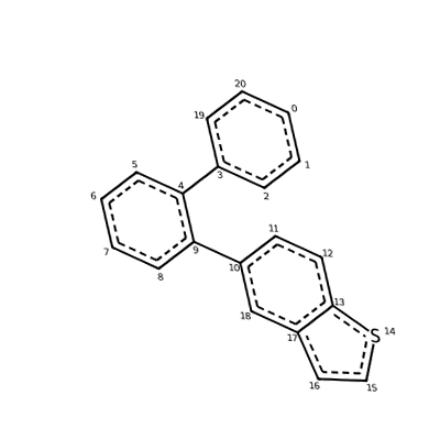 c1ccc(-c2ccccc2-c2ccc3sccc3c2)cc1